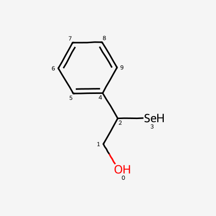 OCC([SeH])c1ccccc1